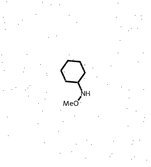 CONC1CCCCC1